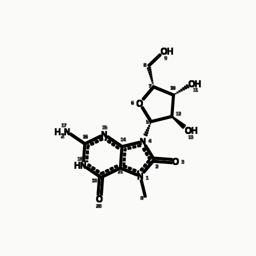 Cn1c(=O)n([C@@H]2O[C@H](CO)[C@H](O)[C@H]2O)c2nc(N)[nH]c(=O)c21